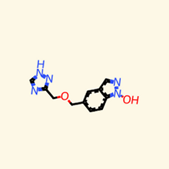 On1ncc2cc(COCc3nc[nH]n3)ccc21